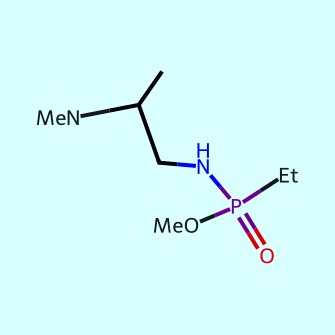 CCP(=O)(NCC(C)NC)OC